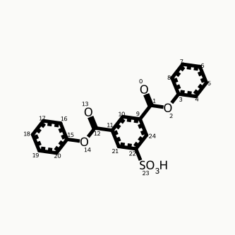 O=C(Oc1ccccc1)c1cc(C(=O)Oc2ccccc2)cc(S(=O)(=O)O)c1